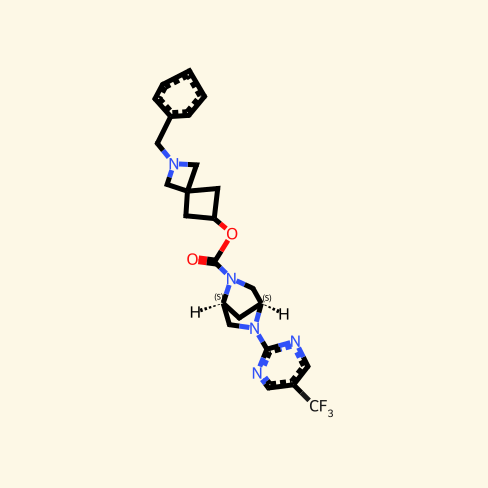 O=C(OC1CC2(C1)CN(Cc1ccccc1)C2)N1C[C@@H]2C[C@H]1CN2c1ncc(C(F)(F)F)cn1